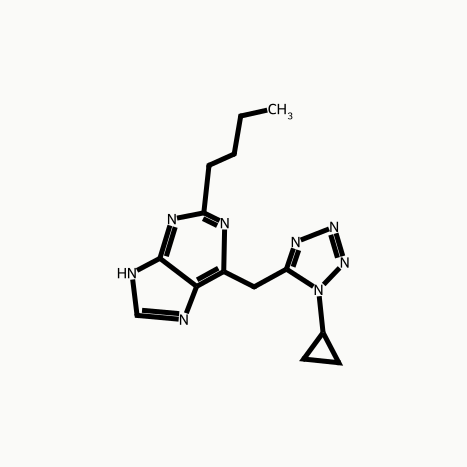 CCCCc1nc(Cc2nnnn2C2CC2)c2nc[nH]c2n1